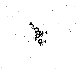 CC(C(N)=O)(c1ccc(OCC2CC2)nn1)C1CCC(F)(F)[C@@H](c2ccc(=O)[nH]c2)C1